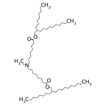 CCCCCCCCCCC(CCCCCCCC)COC(=O)CCCCCCCN(CC)CCCCCCCC(=O)OCC(CCCCCCCC)CCCCCCCCCC